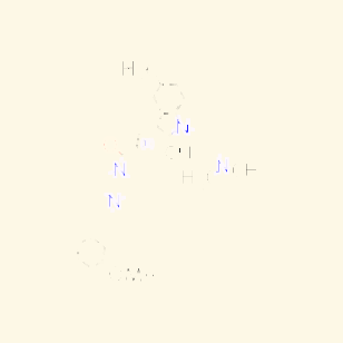 COc1cccc(CCN2CCN(C(=O)/C=C/c3c(C)n(CCCN(C)C)c4ccc(C)cc34)CC2)c1